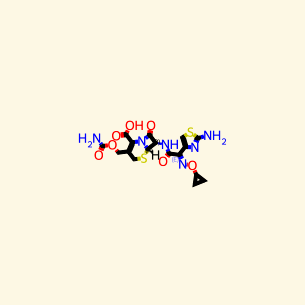 NC(=O)OCC1=C(C(=O)O)N2C(=O)[C@@H](NC(=O)/C(=N/OC3CC3)c3csc(N)n3)[C@H]2SC1